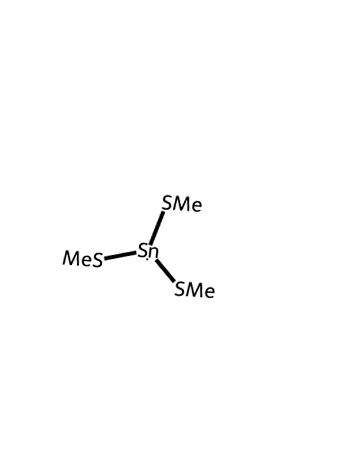 C[S][Sn]([S]C)[S]C